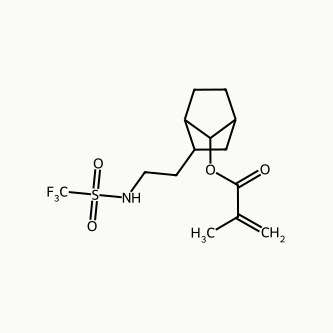 C=C(C)C(=O)OC1C2CCC1C(CCNS(=O)(=O)C(F)(F)F)C2